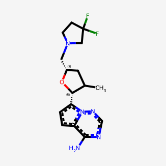 CC1C[C@@H](CN2CCC(F)(F)C2)O[C@H]1c1ccc2c(N)ncnn12